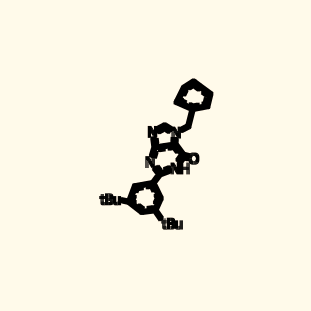 CC(C)(C)c1cc(-c2nc3ncn(Cc4ccccc4)c3c(=O)[nH]2)cc(C(C)(C)C)c1